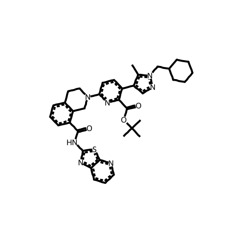 Cc1c(-c2ccc(N3CCc4cccc(C(=O)Nc5nc6cccnc6s5)c4C3)nc2C(=O)OC(C)(C)C)cnn1CC1CCCCC1